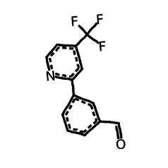 O=Cc1cccc(-c2cc(C(F)(F)F)ccn2)c1